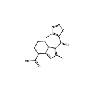 Cc1ccoc1C(=O)c1c(C)cc2n1CCCC2C(=O)O